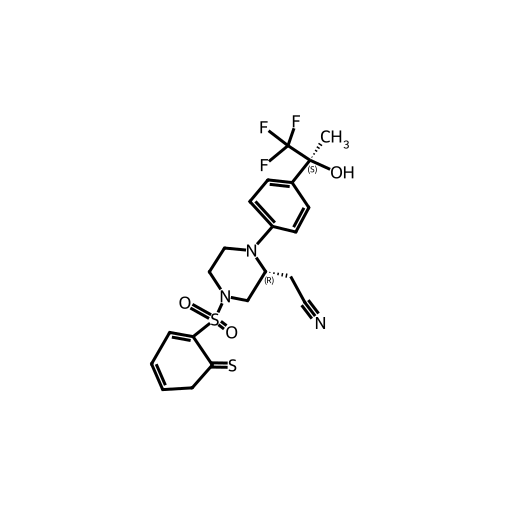 C[C@](O)(c1ccc(N2CCN(S(=O)(=O)C3=CC=CCC3=S)C[C@H]2CC#N)cc1)C(F)(F)F